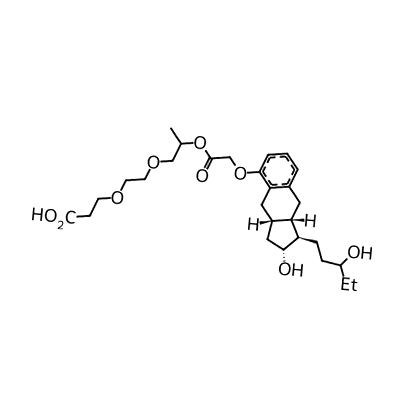 CCC(O)CC[C@@H]1[C@H]2Cc3cccc(OCC(=O)OC(C)COCCOCCC(=O)O)c3C[C@H]2C[C@H]1O